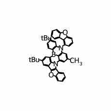 Cc1cc2c3c(c1)-n1c4c(cc(C(C)(C)C)cc4c4oc5ccccc5c41)B3c1ccc(C(C)(C)C)cc1N2c1cccc2oc3ccccc3c12